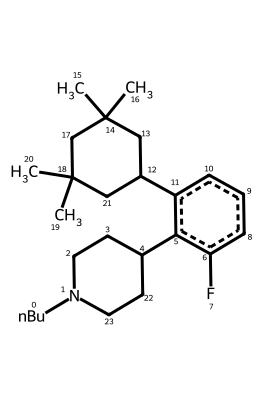 CCCCN1CCC(c2c(F)cccc2C2CC(C)(C)CC(C)(C)C2)CC1